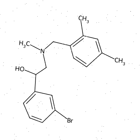 Cc1ccc(CN(C)CC(O)c2cccc(Br)c2)c(C)c1